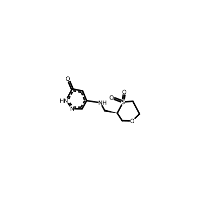 O=c1cc(NC[C@@H]2COCCS2(=O)=O)cn[nH]1